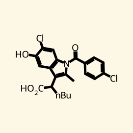 CCCCC(C(=O)O)c1c(C)n(C(=O)c2ccc(Cl)cc2)c2cc(Cl)c(O)cc12